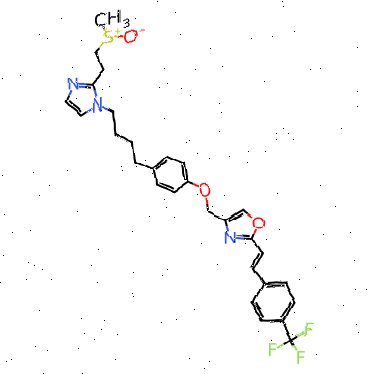 C[S+]([O-])CCc1nccn1CCCCc1ccc(OCc2coc(C=Cc3ccc(C(F)(F)F)cc3)n2)cc1